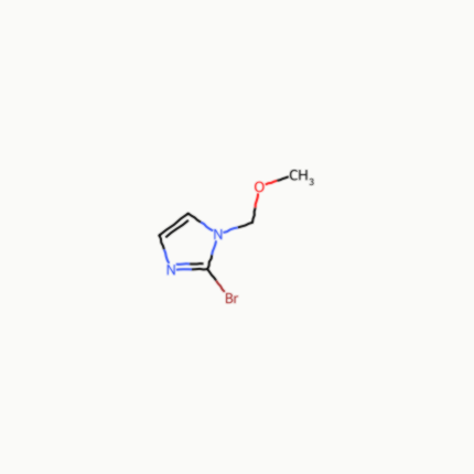 COCn1ccnc1Br